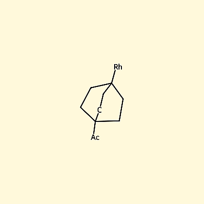 CC(=O)C12CC[C]([Rh])(CC1)CC2